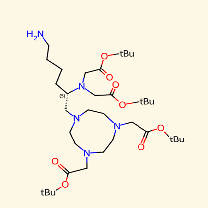 CC(C)(C)OC(=O)CN1CCN(CC(=O)OC(C)(C)C)CCN(C[C@H](CCCCN)N(CC(=O)OC(C)(C)C)CC(=O)OC(C)(C)C)CC1